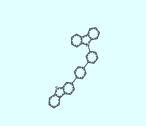 c1cc(-c2ccc(-c3ccc4c(c3)sc3ccccc34)cc2)cc(-n2c3ccccc3c3ccccc32)c1